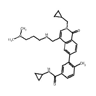 Cc1ccc(C(=O)NC2CC2)cc1-c1ccc2c(=O)n(CC3CC3)cc(CNCCCN(C)C)c2c1